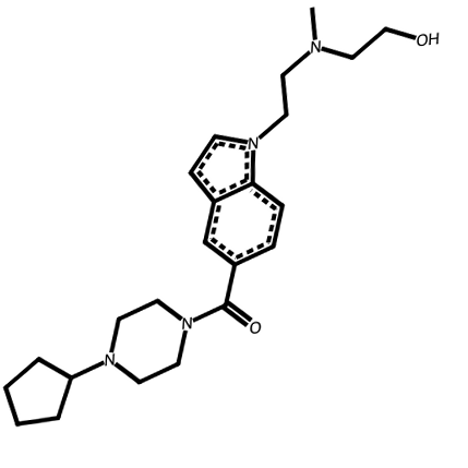 CN(CCO)CCn1ccc2cc(C(=O)N3CCN(C4CCCC4)CC3)ccc21